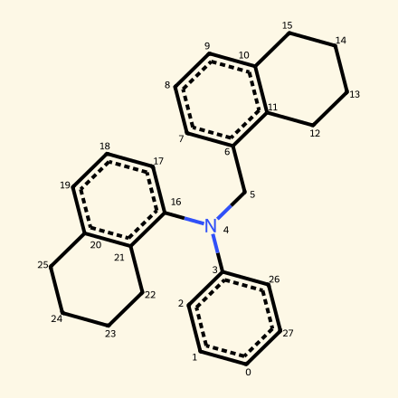 c1ccc(N(Cc2cccc3c2CCCC3)c2cccc3c2CCCC3)cc1